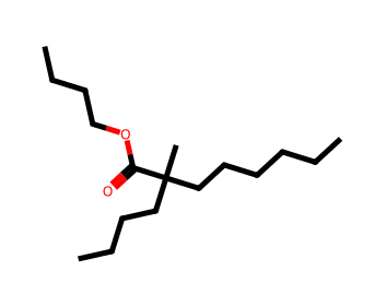 CCCCCCC(C)(CCCC)C(=O)OCCCC